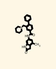 Cc1cc(NC(=O)c2ccc(-c3ccccc3)c(CN3CCCCC3)c2)cc2c1CC(=O)N2